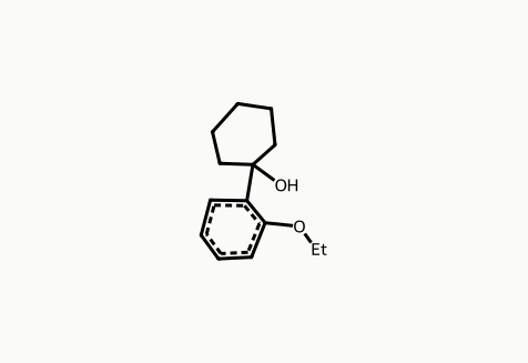 CCOc1ccccc1C1(O)CCCCC1